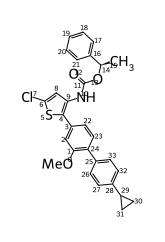 COc1cc(-c2sc(Cl)cc2NC(=O)O[C@H](C)c2ccccc2)ccc1-c1ccc(C2CC2)cc1